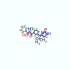 CC(C)N(c1ccc(Cl)c(C(=O)NC(O)C2CCCCC2)c1)c1cc[nH]c(=O)n1